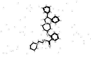 O=C(NCCN1CCCCC1)c1ccccc1OC1CCN(CC(c2ccccc2)c2ccccc2)CC1